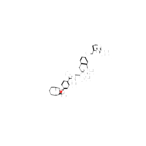 Cn1nccc1COc1ccc2c(c1)CN[C@H](C(O)CNC(=O)c1ccc(C(=O)N3C4CCCC3COC4)cc1)C2